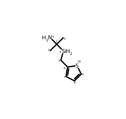 CC(C)(N)[SiH2]Cc1cccs1